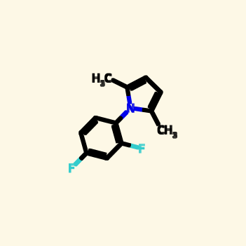 Cc1ccc(C)n1-c1ccc(F)cc1F